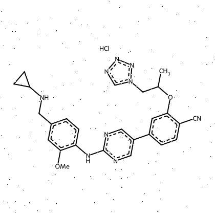 COc1cc(CNC2CC2)ccc1Nc1ncc(-c2ccc(C#N)c(OC(C)Cn3cnnn3)c2)cn1.Cl